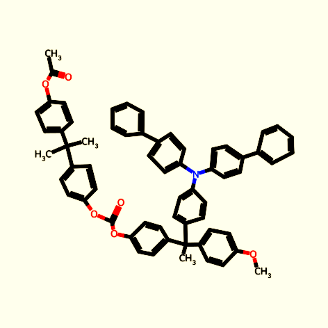 COc1ccc(C(C)(c2ccc(OC(=O)Oc3ccc(C(C)(C)c4ccc(OC(C)=O)cc4)cc3)cc2)c2ccc(N(c3ccc(-c4ccccc4)cc3)c3ccc(-c4ccccc4)cc3)cc2)cc1